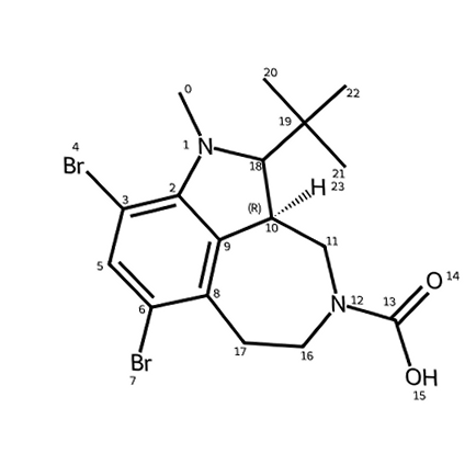 CN1c2c(Br)cc(Br)c3c2[C@H](CN(C(=O)O)CC3)C1C(C)(C)C